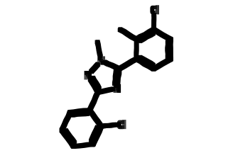 Cc1c(Cl)cccc1-c1nc(-c2ccccc2Cl)nn1C